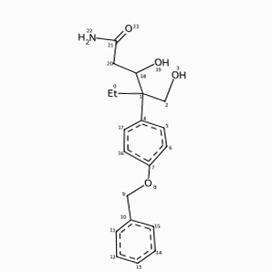 CCC(CO)(c1ccc(OCc2ccccc2)cc1)C(O)CC(N)=O